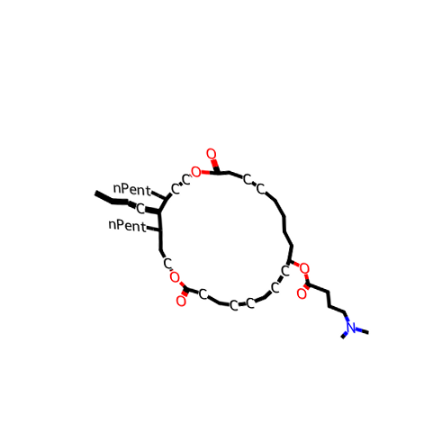 C=C=C=C=C1C(CCCCC)CCOC(=O)CCCCCCCC(OC(=O)CCCN(C)C)CCCCCCCC(=O)OCCC1CCCCC